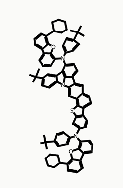 CC(C)(C)c1ccc(N(c2ccc3c(c2)sc2c4cc5c(cc4ccc32)c2ccc(N(c3ccc(C(C)(C)C)cc3)c3cccc4c3oc3c(C6CCCCC6)cccc34)c3c4cc(C(C)(C)C)ccc4n5c23)c2cccc3c2oc2c(C4CCCCC4)cccc23)cc1